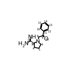 N=C(N)[C@@H]1CCCN1CC(=O)c1ccccc1